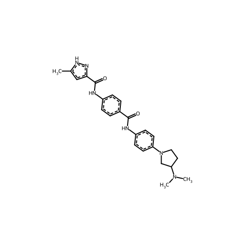 Cc1cc(C(=O)Nc2ccc(C(=O)Nc3ccc(N4CCC(N(C)C)C4)cc3)cc2)n[nH]1